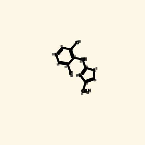 O=C(O)c1csc(Nc2c(Cl)cncc2Cl)n1